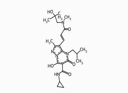 Cc1nn2c(O)c(C(=O)NC3CC3)c(=O)n(CC(C)C)c2c1C=CC(=O)N(C)CC(C)(C)O